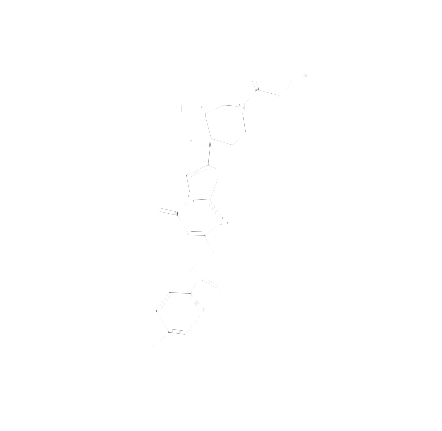 Cc1ccc(S(=O)(=O)Oc2cc(=O)n3cc([C@]4(O)CCN(C(=O)OC(C)(C)C)C[C@H]4F)sc3n2)cc1